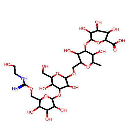 CC1OC(COC2OC(CO)C(O)C(OC3OC(COC(=N)NCCO)C(O)C(O)C3O)C2O)C(O)C(OC2OC(C(=O)O)C(O)C(O)C2O)C1O